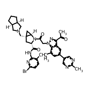 CC(=O)c1nn(CC(=O)N2[C@H](C(=O)Nc3nc(Br)ccc3C)C[C@@]3(CN4C[C@H]5CCC[C@H]5C4)C[C@@H]23)c2c(C)cc(-c3cnc(C)nc3)cc12